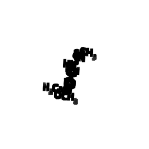 CC(=O)NC(C)Cc1ccc(-c2cnc(NCc3csc(C)n3)nc2)cc1